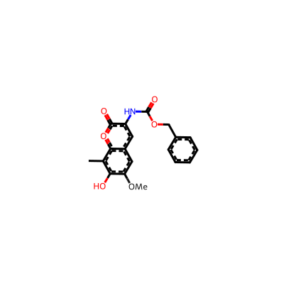 COc1cc2cc(NC(=O)OCc3ccccc3)c(=O)oc2c(C)c1O